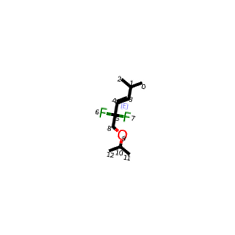 CC(C)/C=C/C(F)(F)COC(C)C